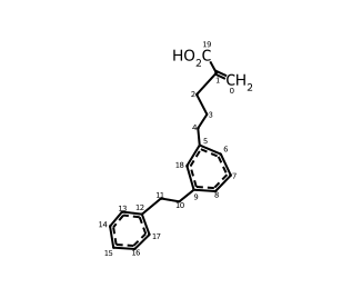 C=C(CCCc1cccc(CCc2ccccc2)c1)C(=O)O